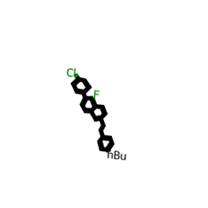 CCCCc1ccc(CCc2ccc3c(F)c(-c4ccc(Cl)cc4)ccc3c2)cc1